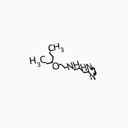 CCCC(CC)OCCNCCCc1ncc[nH]1